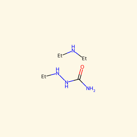 CCNCC.CCNNC(N)=O